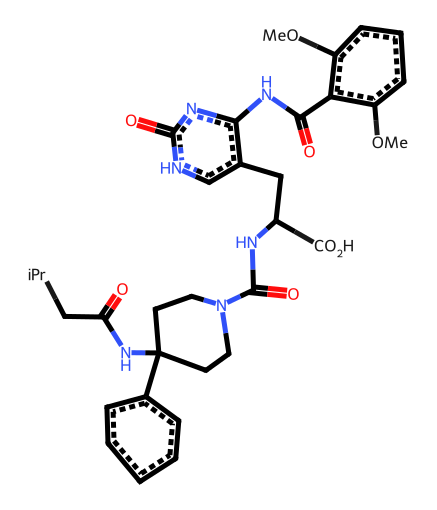 COc1cccc(OC)c1C(=O)Nc1nc(=O)[nH]cc1CC(NC(=O)N1CCC(NC(=O)CC(C)C)(c2ccccc2)CC1)C(=O)O